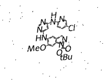 COc1cc2c(cnn2C(=O)OC(C)(C)C)cc1Nc1cc(Nc2ccc(Cl)cn2)ncn1